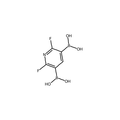 OB(O)c1cc(B(O)O)c(F)nc1F